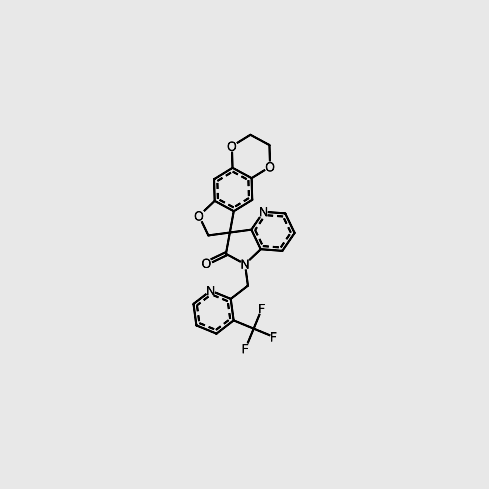 O=C1N(Cc2ncccc2C(F)(F)F)c2cccnc2C12COc1cc3c(cc12)OCCO3